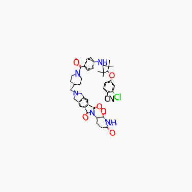 CC1(C)[C@H](Nc2ccc(C(=O)N3CCC(CN4Cc5cc6c(cc5C4)C(=O)N(C4CCC(=O)NC4=O)C6=O)CC3)cc2)C(C)(C)[C@H]1Oc1ccc(C#N)c(Cl)c1